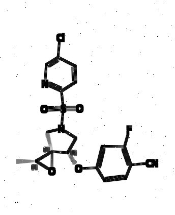 C[C@H]1O[C@@]12CN(S(=O)(=O)c1ccc(Cl)cn1)C[C@@H]2Oc1ccc(C#N)c(F)c1